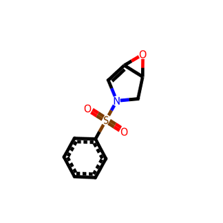 O=S(=O)(c1ccccc1)N1C=C2OC2C1